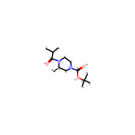 CC(C)C(=O)N1CCN(C(=O)OC(C)(C)C)C[C@H]1C